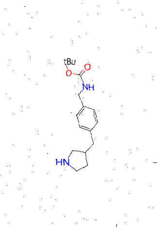 CC(C)(C)OC(=O)NCc1ccc(CC2CCNC2)cc1